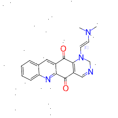 CN(C)/C=C/N1CN=CC2=C1C(=O)c1cc3ccccc3nc1C2=O